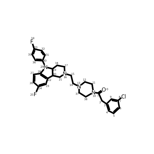 O=C(Cc1cccc(Cl)c1)N1CCN(CCN2CCC3C(C2)c2cc(F)ccc2N3c2ccc(F)cc2)CC1